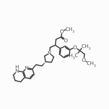 COCC(C)(C)Oc1cccc(C(CC(=O)OC)CN2CC[C@@H](CCc3ccc4c(n3)NCCC4)C2)c1